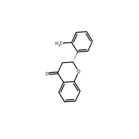 Cc1ccccc1[C@H]1CC(=O)c2ccccc2O1